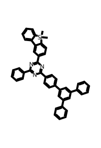 C[Si]1(C)c2ccccc2-c2cc(-c3nc(-c4ccccc4)nc(-c4ccc(-c5cc(-c6ccccc6)cc(-c6ccccc6)c5)cc4)n3)ccc21